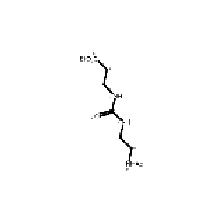 CCOC(=O)CCNC(=O)NCCNC(C)=O